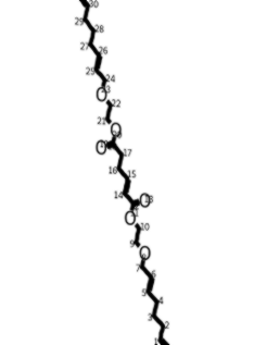 C=CCCCC=CCOCCOC(=O)C=CCCC(=O)OCCOCC=CCCCC=C